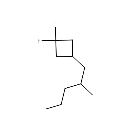 CCCC(C)CC1CC(F)(F)C1